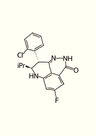 CC(C)[C@@H]1Nc2cc(F)cc3c(=O)[nH]nc(c23)[C@H]1c1ccccc1Cl